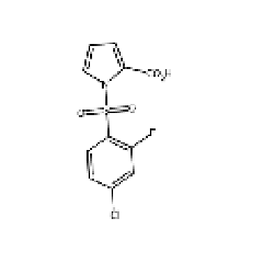 O=C(O)c1cccn1S(=O)(=O)c1ccc(Cl)cc1F